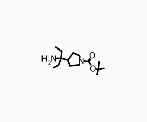 CCC(N)(CC)C1CCN(C(=O)OC(C)(C)C)CC1